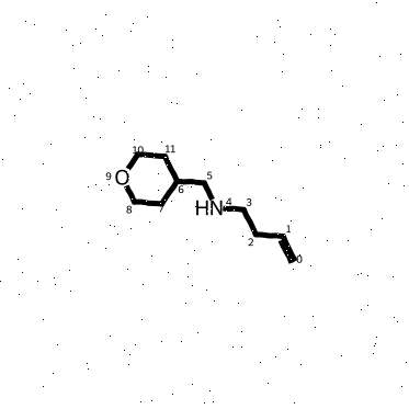 C=CCCNCC1CCOCC1